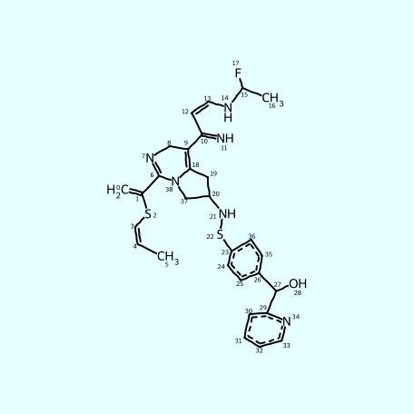 C=C(S/C=C\C)C1=NCC(C(=N)/C=C\NC(C)F)=C2CC(NSc3ccc(C(O)c4ccccn4)cc3)CN12